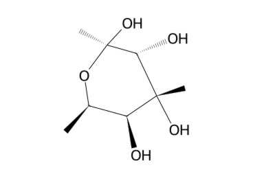 C[C@H]1O[C@@](C)(O)[C@H](O)[C@](C)(O)[C@H]1O